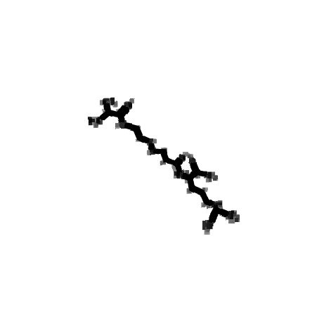 CC(C)C(=O)OCCSSCCC(=O)NC(CCCNC(=N)N)C(N)=O